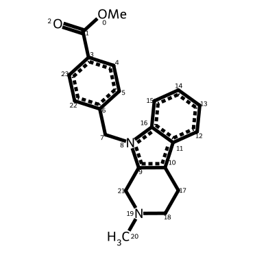 COC(=O)c1ccc(Cn2c3c(c4ccccc42)CCN(C)C3)cc1